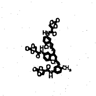 Cc1ccc(NC(=O)C2COC(=O)O2)cc1CCCC(CCCc1cc(NC(=O)C2COC(=O)O2)ccc1C)c1cc(NC(=O)C2COC(=O)O2)ccc1C